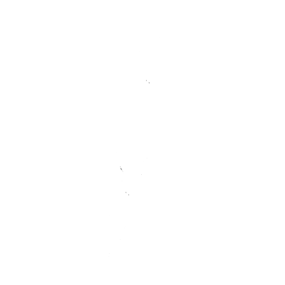 O=C(c1ccccc1)c1ccccc1N[C@@H](Cc1ccc(OCCN(C(=O)C2CCCC2)c2ccc(F)cc2)cc1)C(=O)O